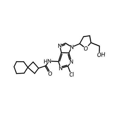 O=C(Nc1nc(Cl)nc2c1ncn2C1CCC(CO)O1)C1CC2(CCCCC2)C1